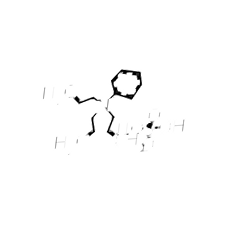 C=CC[N+](CC=C)(CC=C)c1ccccc1.O=S(=O)(O)O